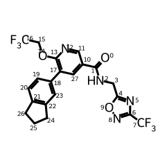 O=C(NCc1nc(C(F)(F)F)no1)c1cnc(OCC(F)(F)F)c(-c2ccc3c(c2)CCC3)c1